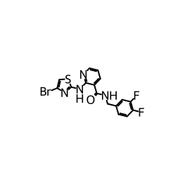 O=C(NCc1ccc(F)c(F)c1)c1cccnc1Nc1nc(Br)cs1